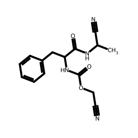 CC(C#N)NC(=O)C(Cc1ccccc1)NC(=O)OCC#N